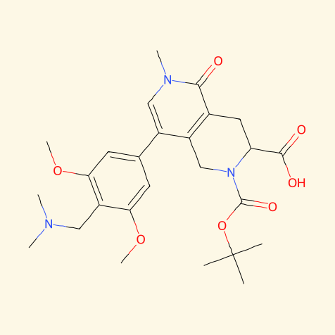 COc1cc(-c2cn(C)c(=O)c3c2CN(C(=O)OC(C)(C)C)C(C(=O)O)C3)cc(OC)c1CN(C)C